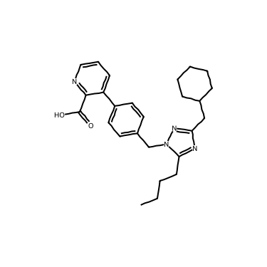 CCCCc1nc(CC2CCCCC2)nn1Cc1ccc(-c2cccnc2C(=O)O)cc1